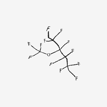 FC(F)(F)OC(F)(C(F)(F)F)C(F)(F)C(F)(F)F